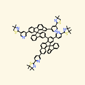 CC1(C)CSC(c2cncc(-c3ccc4c(c3)C3(c5ccccc5-c5cc(-c6cc(-c7ccc(C8=NC(C)(C)C(C)(C)S8)nc7)cc7c6-c6ccc8cc(-c9ccc(C%10=NC(C)(C)C(C)(C)S%10)nc9)ccc8c6C76c7ccccc7-c7ccccc76)ccc53)c3c-4ccc4cc(-c5cncc(C6=NC(C)(C)CS6)c5)ccc34)c2)=N1